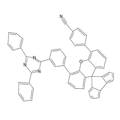 N#Cc1ccc(-c2cccc3c2Oc2c(-c4cccc(-c5nc(-c6ccccc6)nc(-c6ccccc6)n5)c4)cccc2C32c3ccccc3-c3ccccc32)cc1